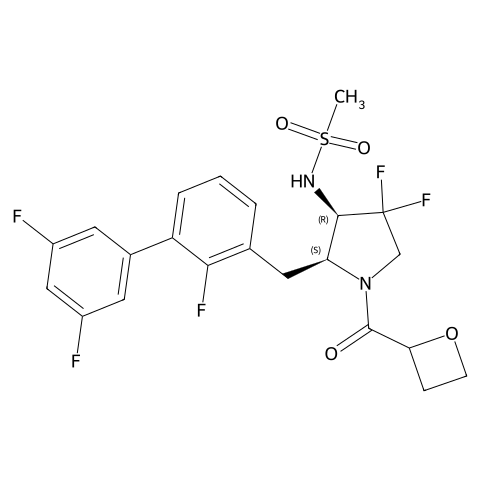 CS(=O)(=O)N[C@@H]1[C@H](Cc2cccc(-c3cc(F)cc(F)c3)c2F)N(C(=O)C2CCO2)CC1(F)F